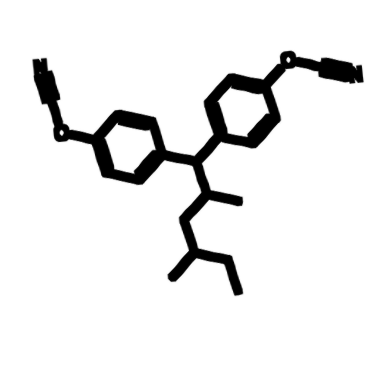 CCC(C)CC(C)C(c1ccc(OC#N)cc1)c1ccc(OC#N)cc1